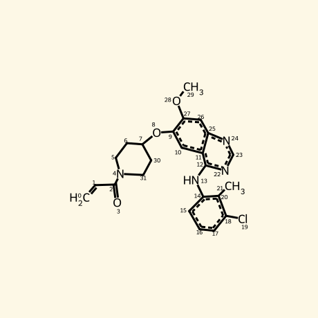 C=CC(=O)N1CCC(Oc2cc3c(Nc4cccc(Cl)c4C)ncnc3cc2OC)CC1